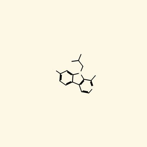 Cc1nccc2c3ccc(O)cc3n(CC(C)C)c12